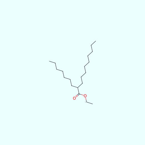 C[CH]OC(=O)C(CCCCCCC)CCCCCCCCC